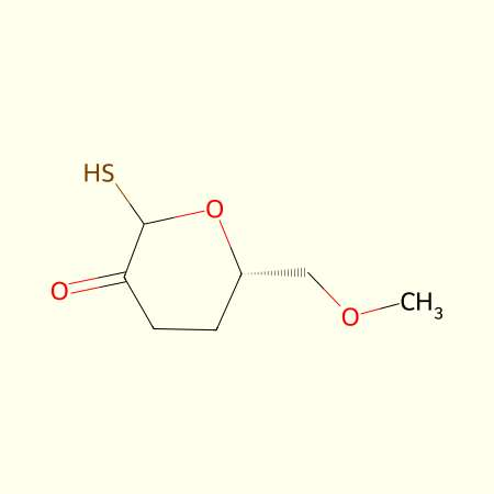 COC[C@@H]1CCC(=O)C(S)O1